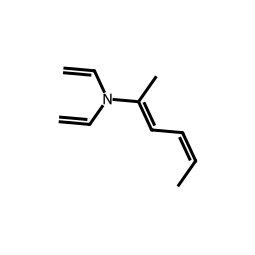 C=CN(C=C)/C(C)=C/C=C\C